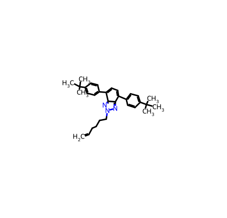 C=CCCCCn1nc2c(-c3ccc(C(C)(C)C)cc3)ccc(-c3ccc(C(C)(C)C)cc3)c2n1